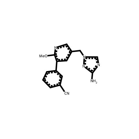 COc1ncc(Cn2cnc(N)n2)cc1-c1cccc(C#N)c1